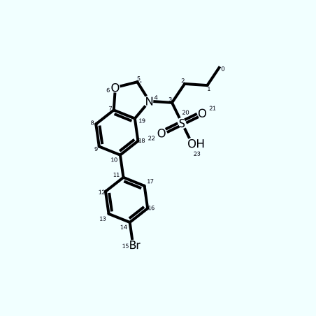 CCCC(N1[CH]Oc2ccc(-c3ccc(Br)cc3)cc21)S(=O)(=O)O